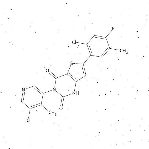 Cc1cc(-c2cc3[nH]c(=O)n(-c4cncc(Cl)c4C)c(=O)c3s2)c(Cl)cc1F